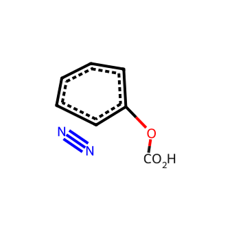 N#N.O=C(O)Oc1ccccc1